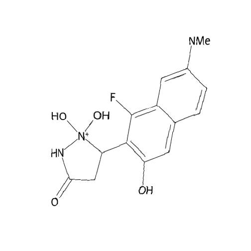 CNc1ccc2cc(O)c(C3CC(=O)N[N+]3(O)O)c(F)c2c1